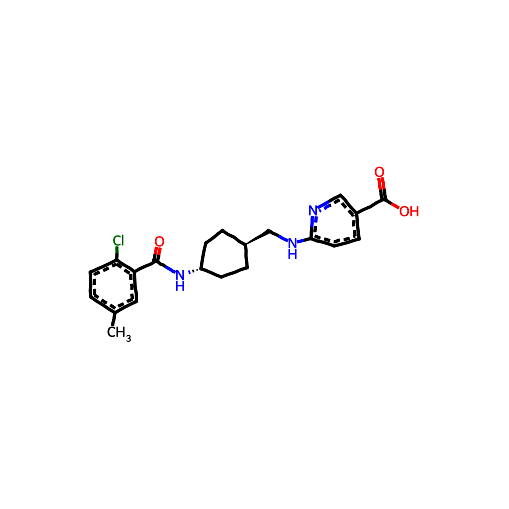 Cc1ccc(Cl)c(C(=O)N[C@H]2CC[C@H](CNc3ccc(C(=O)O)cn3)CC2)c1